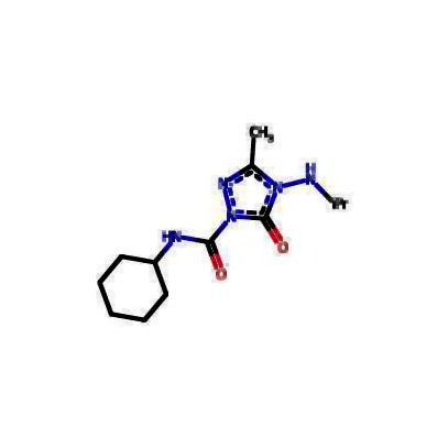 Cc1nn(C(=O)NC2CCCCC2)c(=O)n1NC(C)C